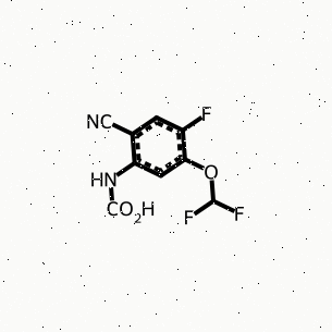 N#Cc1cc(F)c(OC(F)F)cc1NC(=O)O